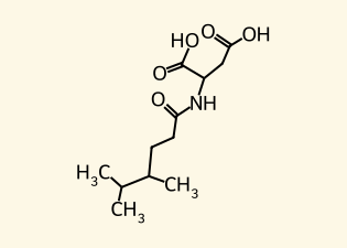 CC(C)C(C)CCC(=O)NC(CC(=O)O)C(=O)O